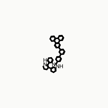 C1=CC(C2=CCC(C3NC4=CCCC5=C4N3C3=CCCC=C3C3=C5CCCN3)C=C2)CC(c2ccc3c(c2)C2C=CC=CC2C2=C3CCC=C2)=C1